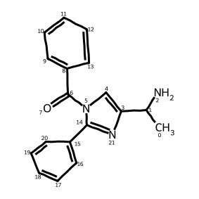 CC(N)c1cn(C(=O)c2ccccc2)c(-c2ccccc2)n1